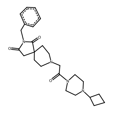 O=C(CN1CCC2(CC1)CC(=O)N(Cc1ccccc1)C2=O)N1CCN(C2CCC2)CC1